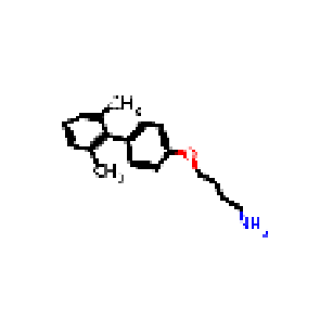 Cc1cccc(C)c1-c1ccc(OCCCCN)cc1